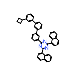 c1cc(-c2cccc(-c3nc(-c4cccc5ccccc45)nc(-c4cccc5ccccc45)n3)c2)cc(-c2cccc(C3CCC3)c2)c1